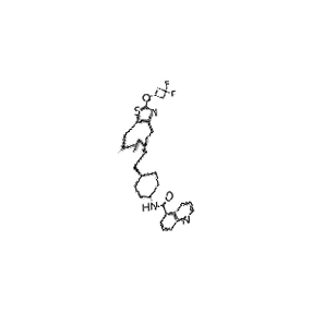 O=C(N[C@H]1CC[C@H](CCN2CCc3sc(OC4CC(F)(F)C4)nc3C2)CC1)c1cccc2ncccc12